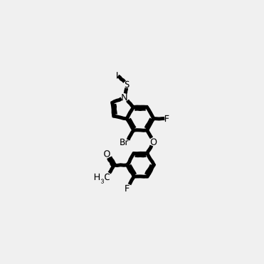 CC(=O)c1cc(Oc2c(F)cc3c(ccn3SI)c2Br)ccc1F